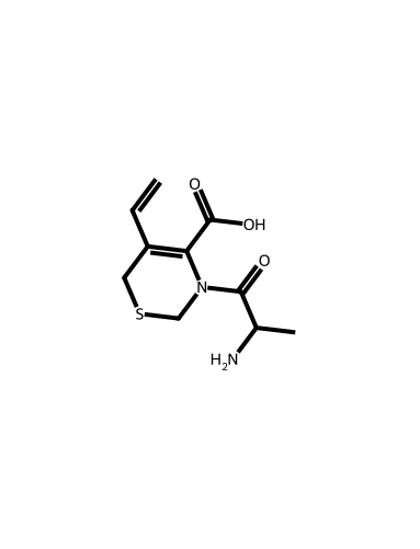 C=CC1=C(C(=O)O)N(C(=O)C(C)N)CSC1